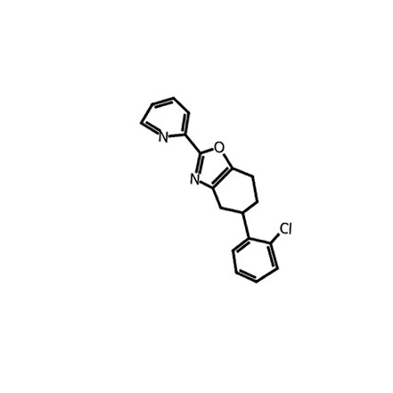 Clc1ccccc1C1CCc2oc(-c3ccccn3)nc2C1